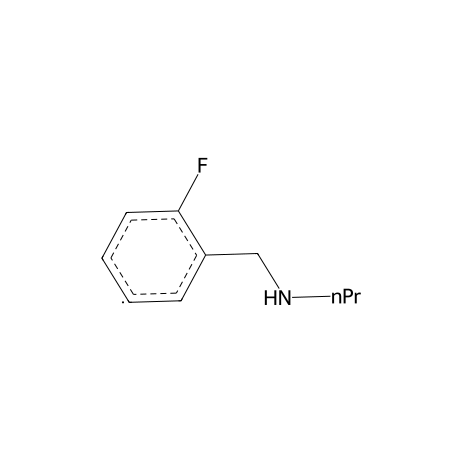 CCCNCc1c[c]ccc1F